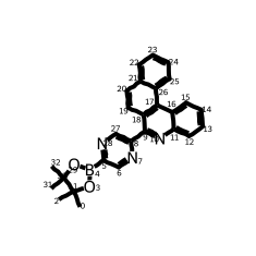 CC1(C)OB(c2cnc(-c3nc4ccccc4c4c3ccc3ccccc34)cn2)OC1(C)C